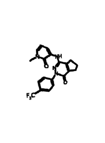 Cn1cccc(Nc2nn(-c3ccc(C(F)(F)F)cc3)c(=O)c3c2CCC3)c1=O